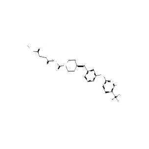 COC(=O)CCC(=O)NC(=O)N1CCC(=Cc2cccc(Oc3ccc(C(F)(F)F)cn3)c2)CC1